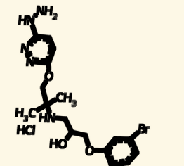 CC(C)(COc1ccc(NN)nn1)NCC(O)COc1cccc(Br)c1.Cl